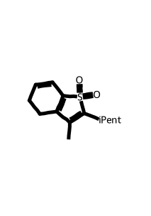 CCCC(C)C1=C(C)C2=C(C=CCC2)S1(=O)=O